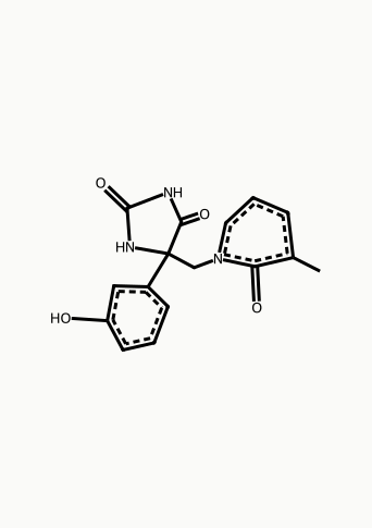 Cc1cccn(CC2(c3cccc(O)c3)NC(=O)NC2=O)c1=O